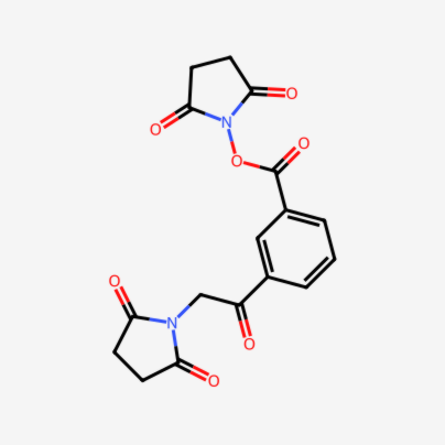 O=C(CN1C(=O)CCC1=O)c1cccc(C(=O)ON2C(=O)CCC2=O)c1